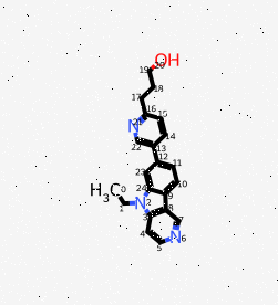 CCn1c2ccncc2c2ccc(-c3ccc(CCCO)nc3)cc21